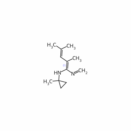 C=N/C(NC1(C)CC1)=C(\C)C=C(C)C